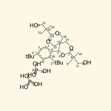 CC(C)(C)c1ccc(C2OC(C(C)(C)CO)OCC23COC(C(C)(C)CO)OC3)c(C(C)(C)C)c1.OP(O)O.OP(O)O